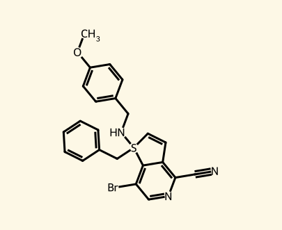 COc1ccc(CNS2(Cc3ccccc3)C=Cc3c(C#N)ncc(Br)c32)cc1